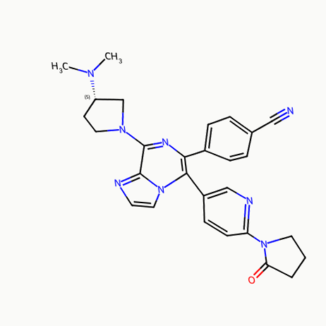 CN(C)[C@H]1CCN(c2nc(-c3ccc(C#N)cc3)c(-c3ccc(N4CCCC4=O)nc3)n3ccnc23)C1